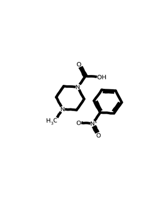 CN1CCN(C(=O)O)CC1.O=[N+]([O-])c1ccccc1